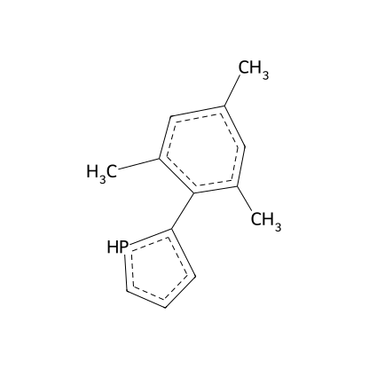 Cc1cc(C)c(-c2ccc[pH]2)c(C)c1